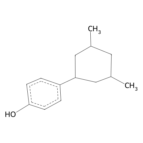 CC1CC(C)CC(c2ccc(O)cc2)C1